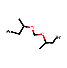 CC(C)CC(C)O[CH]OC(C)CC(C)C